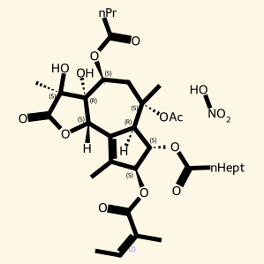 C/C=C(/C)C(=O)O[C@H]1C(C)=C2[C@H]([C@@H]1OC(=O)CCCCCCC)[C@@](C)(OC(C)=O)C[C@H](OC(=O)CCC)[C@@]1(O)[C@H]2OC(=O)[C@@]1(C)O.O=[N+]([O-])O